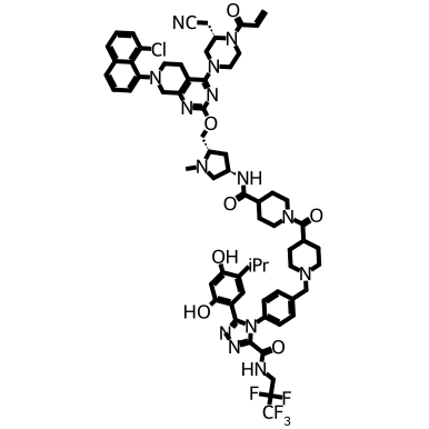 C=CC(=O)N1CCN(c2nc(OC[C@@H]3C[C@H](NC(=O)C4CCN(C(=O)C5CCN(Cc6ccc(-n7c(C(=O)NCC(F)(F)C(F)(F)F)nnc7-c7cc(C(C)C)c(O)cc7O)cc6)CC5)CC4)CN3C)nc3c2CCN(c2cccc4cccc(Cl)c24)C3)C[C@@H]1CC#N